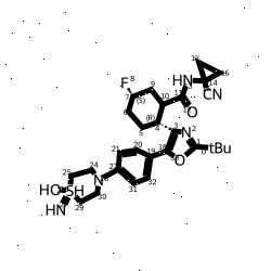 CC(C)(C)c1nc([C@@H]2CC[C@H](F)CC2C(=O)NC2(C#N)CC2)c(-c2ccc(N3CC[SH](=N)(O)CC3)cc2)o1